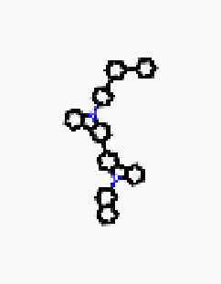 c1ccc(-c2cccc(-c3ccc(-n4c5ccccc5c5cc(-c6ccc7c(c6)c6ccccc6n7-c6ccc7ccccc7c6)ccc54)cc3)c2)cc1